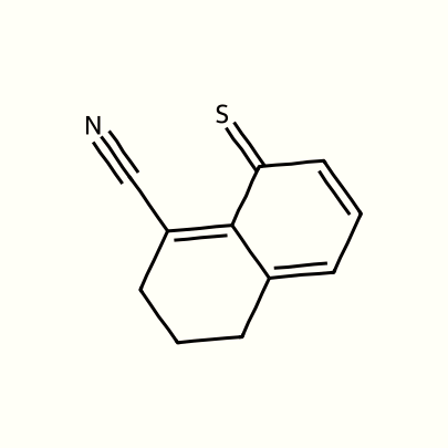 N#CC1=C2C(=S)C=CC=C2CCC1